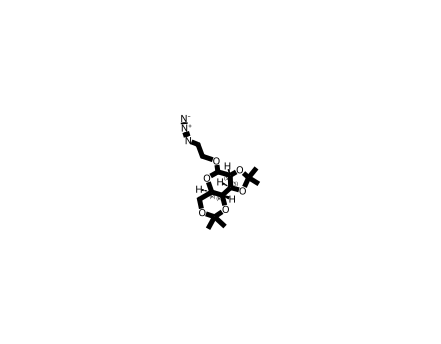 CC1(C)OC[C@H]2OC(OCCN=[N+]=[N-])[C@H]3OC(C)(C)O[C@H]3[C@@H]2O1